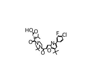 CC(C)[C@@H](CC(=O)O)C(=O)N1CCN(C(=O)c2cc3nc(-c4ccc(Cl)c(F)c4)cc(C(C)(C)C)c3o2)C(C)(C)C1